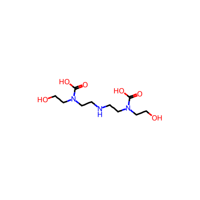 O=C(O)N(CCO)CCNCCN(CCO)C(=O)O